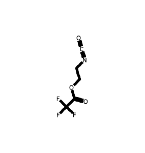 O=C=NCCOC(=O)C(F)(F)F